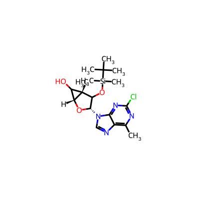 Cc1nc(Cl)nc2c1ncn2[C@@H]1O[C@@H]2C(O)[C@]2(C)C1O[Si](C)(C)C(C)(C)C